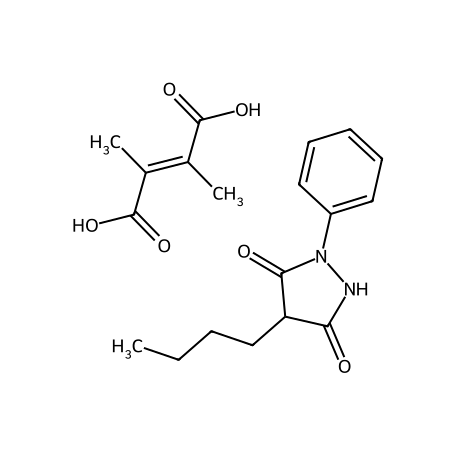 C/C(C(=O)O)=C(/C)C(=O)O.CCCCC1C(=O)NN(c2ccccc2)C1=O